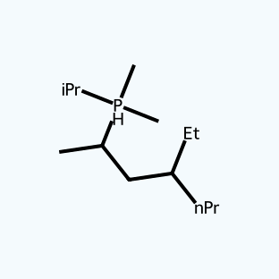 CCCC(CC)CC(C)[PH](C)(C)C(C)C